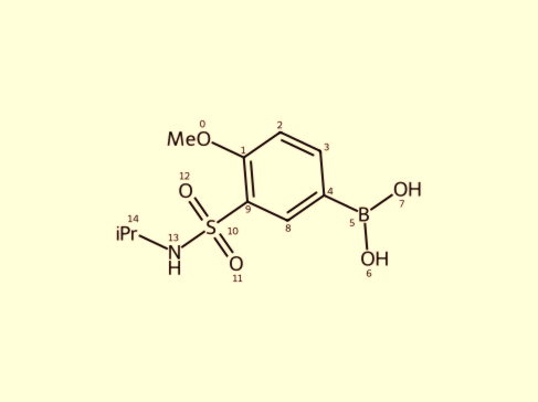 COc1ccc(B(O)O)cc1S(=O)(=O)NC(C)C